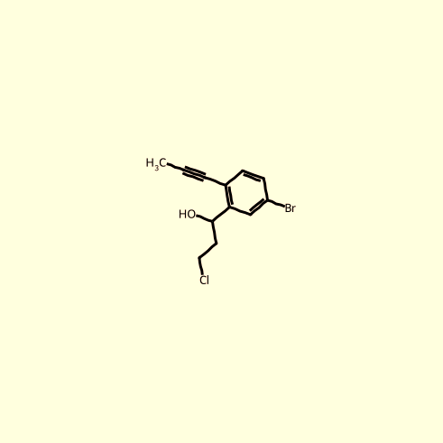 CC#Cc1ccc(Br)cc1C(O)CCCl